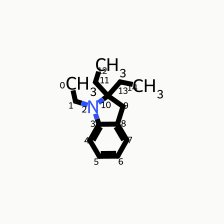 CCN1c2ccccc2CC1(CC)CC